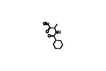 CC(NC(=O)C1CCCCC1)C(=O)C(C)(C)C